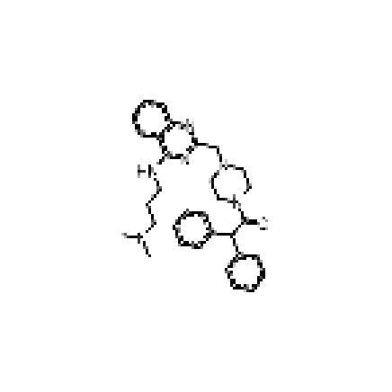 CN(C)CCCNc1nc(CN2CCN(C(=O)C(c3ccccc3)c3ccccc3)CC2)nc2ccccc12